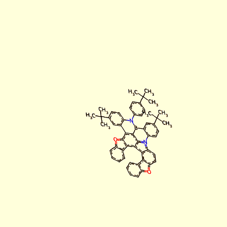 CC(C)(C)c1ccc(N2B3c4cc(C(C)(C)C)ccc4-n4c5ccc6oc7ccccc7c6c5c5c6c(oc7ccccc76)c(c3c54)-c3cc(C(C)(C)C)ccc32)cc1